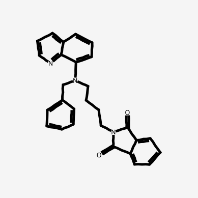 O=C1c2ccccc2C(=O)N1CCCCN(Cc1ccccc1)c1cccc2cccnc12